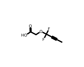 CC#CC(F)(F)OCC(=O)O